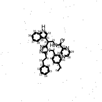 CCc1ccc(Cn2c(CCc3ccccc3)nnc2C(CNC(=O)c2cnccn2)c2c[nH]c3ccccc23)cc1